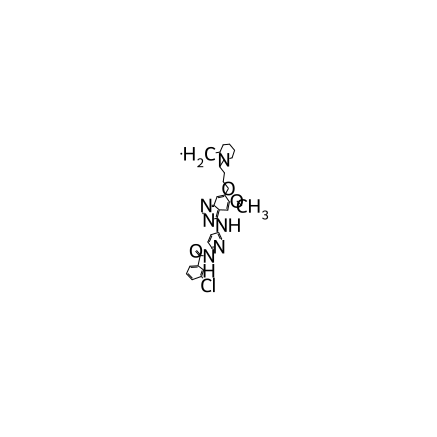 [CH2]C1CCCCN1CCCOc1cc2ncnc(Nc3ccc(NC(=O)c4cccc(Cl)c4)nc3)c2cc1OC